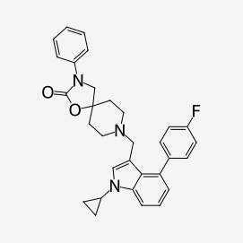 O=C1OC2(CCN(Cc3cn(C4CC4)c4cccc(-c5ccc(F)cc5)c34)CC2)CN1c1ccccc1